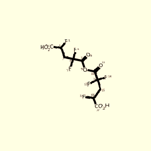 O=C(O)C(F)CC(F)(F)C(=O)OC(=O)C(F)(F)CC(F)C(=O)O